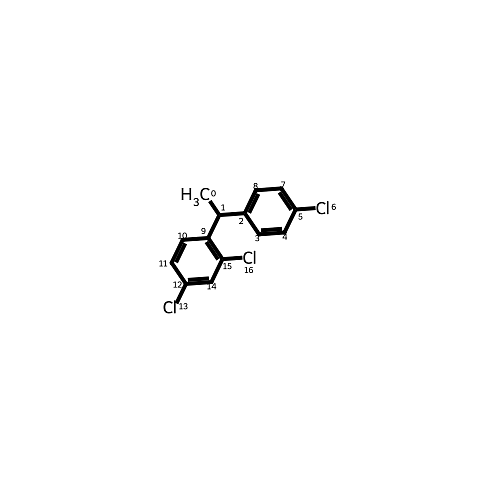 CC(c1ccc(Cl)cc1)c1ccc(Cl)cc1Cl